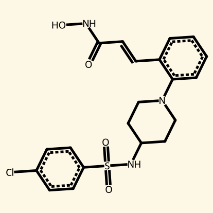 O=C(C=Cc1ccccc1N1CCC(NS(=O)(=O)c2ccc(Cl)cc2)CC1)NO